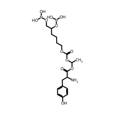 CC(OC(=O)OCCCCC(CON(O)O)ON(O)O)OC(=O)C(N)Cc1ccc(O)cc1